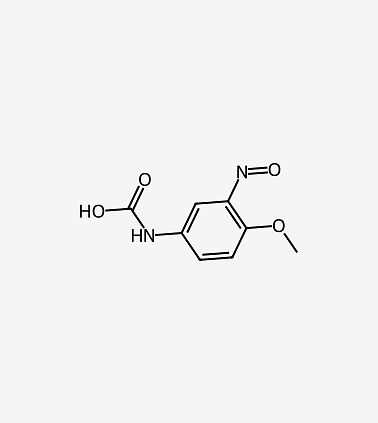 COc1ccc(NC(=O)O)cc1N=O